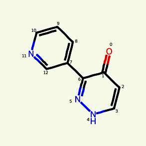 O=c1cc[nH]nc1-c1cccnc1